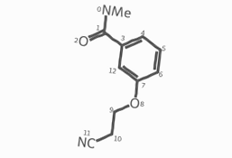 CNC(=O)c1cccc(OCCC#N)c1